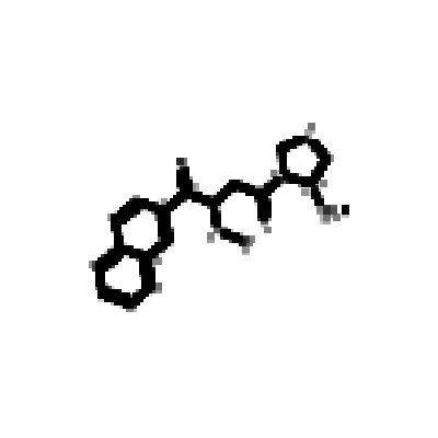 CC(=O)SC(CC(=O)N1CSC[C@H]1C(=O)O)C(=O)c1ccc2ccccc2c1